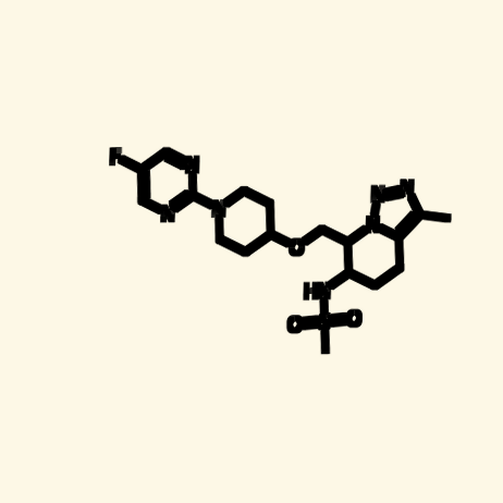 Cc1nnn2c1CCC(NS(C)(=O)=O)C2COC1CCN(c2ncc(F)cn2)CC1